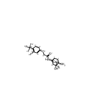 NC12CCC(NC(=O)COc3ccc(C(F)(F)F)c(F)c3)(CC1)C[C@@H]2O